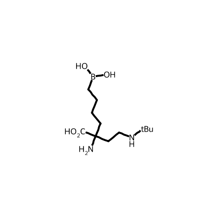 CC(C)(C)NCCC(N)(CCCCB(O)O)C(=O)O